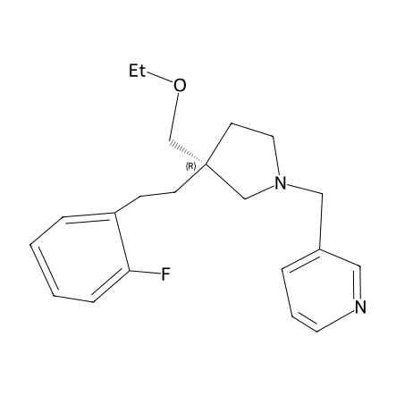 CCOC[C@]1(CCc2ccccc2F)CCN(Cc2cccnc2)C1